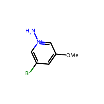 COc1cc(Br)c[n+](N)c1